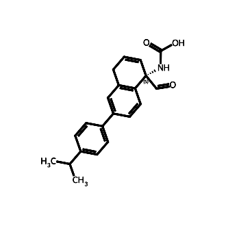 CC(C)c1ccc(-c2ccc3c(c2)CC=C[C@]3(C=O)NC(=O)O)cc1